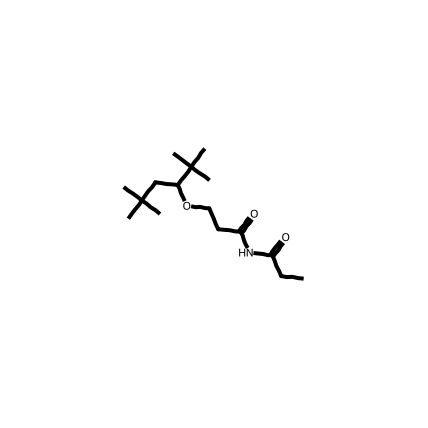 CCC(=O)NC(=O)CCOC(CC(C)(C)C)C(C)(C)C